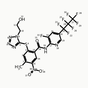 Cc1cc(Sc2nnnn2CCO)c(C(=O)Nc2ncc(C(F)(F)C(F)(F)C(F)(F)F)cc2F)cc1[N+](=O)[O-]